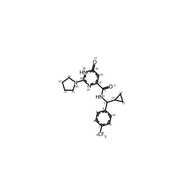 O=C(NC(c1ccc(C(F)(F)F)cc1)C1CC1)c1cc(=O)[nH]c(N2CCCC2)n1